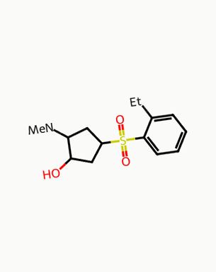 CCc1ccccc1S(=O)(=O)C1CC(O)C(NC)C1